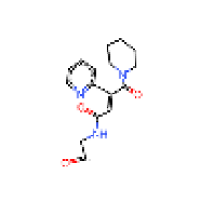 O=[C]CNC(=O)C=C(C(=O)N1CCCCC1)c1ccccn1